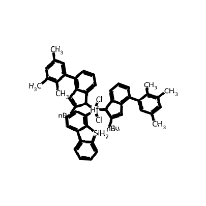 CCCCC1=Cc2c(-c3cc(C)cc(C)c3C)cccc2[CH]1[Hf]([Cl])([Cl])([c]1cccc2c1[SiH2]c1ccccc1-2)[CH]1C(CCCC)=Cc2c(-c3cc(C)cc(C)c3C)cccc21